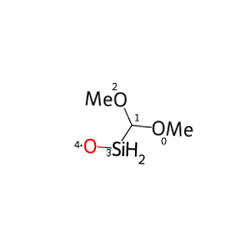 COC(OC)[SiH2][O]